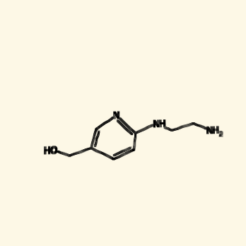 NCCNc1ccc(CO)cn1